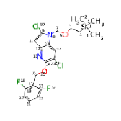 C[Si](C)(C)CCOCn1c(Cl)cc2nc(OCc3c(F)cccc3F)c(Cl)cc21